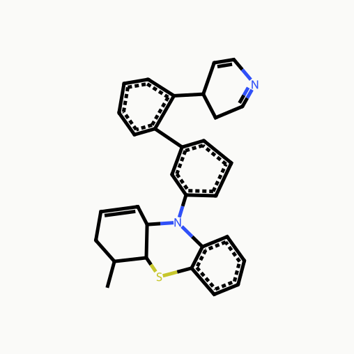 CC1CC=CC2C1Sc1ccccc1N2c1cccc(-c2ccccc2C2C=CN=CC2)c1